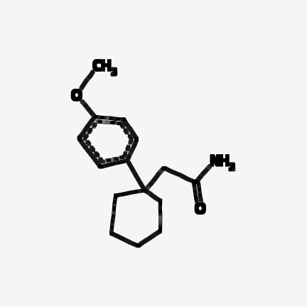 COc1ccc(C2(CC(N)=O)CCCCC2)cc1